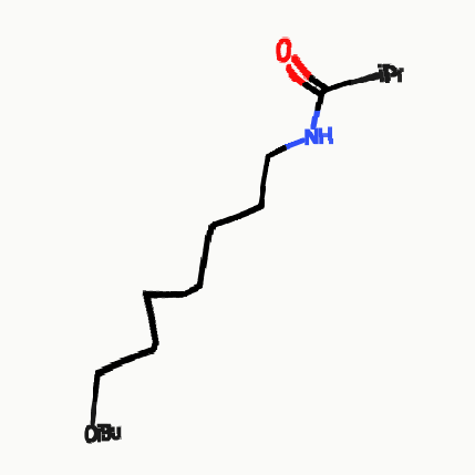 CC(C)COCCCCCCCNC(=O)C(C)C